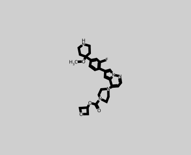 COC1(c2ccc(-c3cc4c(N5CCN(C(=O)OC6COC6)CC5)ccnn4c3)c(F)c2)CCNCC1